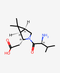 CC(C)[C@H](N)C(=O)N1C[C@H]2[C@@H]([C@H]1CC(=O)O)C2(C)C